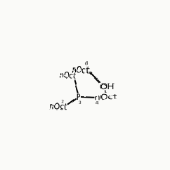 CCCCCCCCO.CCCCCCCCP(CCCCCCCC)CCCCCCCC